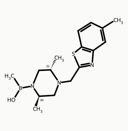 CB(O)N1C[C@H](C)N(Cc2nc3cc(C)ccc3s2)C[C@H]1C